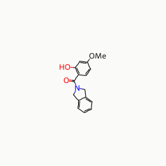 COc1ccc(C(=O)N2Cc3ccccc3C2)c(O)c1